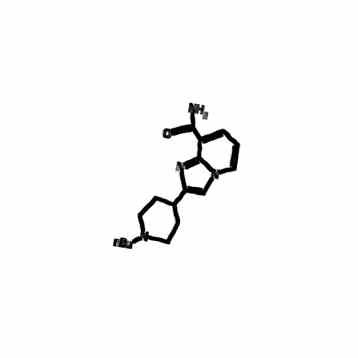 CCCCN1CCC(c2cn3cccc(C(N)=O)c3n2)CC1